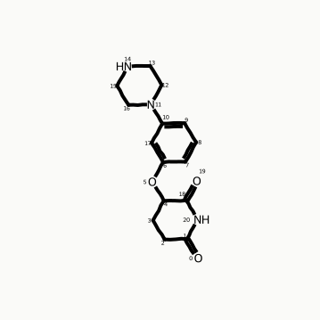 O=C1CCC(Oc2cccc(N3CCNCC3)c2)C(=O)N1